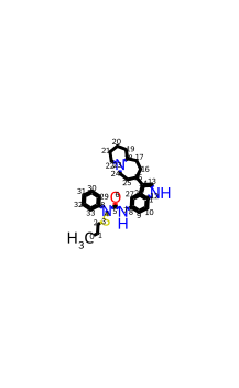 CCCSN(C(=O)Nc1ccc2[nH]cc(C3CCC4CCCCN4CC3)c2c1)c1ccccc1